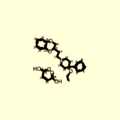 CCOC1(c2ccccc2)CCN(CCC2COc3ccccc3O2)CC1.O=C(O)/C=C\C(=O)O